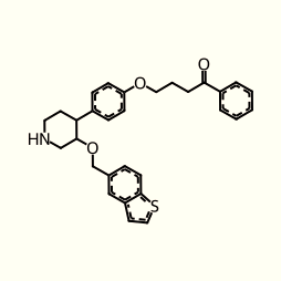 O=C(CCCOc1ccc(C2CCNCC2OCc2ccc3sccc3c2)cc1)c1ccccc1